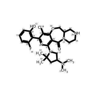 CN(C)C1CN(c2nc(-c3c(O)cccc3F)c(Cl)c3c2C(=O)N2CCNCC2CO3)C(C)(C)C1